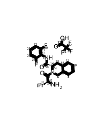 CC(C)[C@H](N)C(=O)N1Cc2ccccc2C[C@H]1C(=O)Nc1c(F)cccc1F.O=C(O)C(F)(F)F